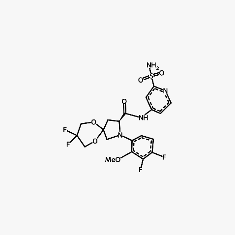 COc1c(N2CC3(C[C@H]2C(=O)Nc2ccnc(S(N)(=O)=O)c2)OCC(F)(F)CO3)ccc(F)c1F